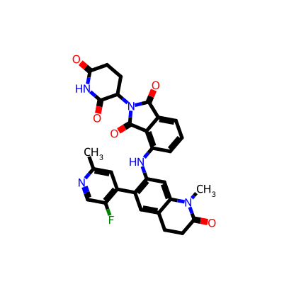 Cc1cc(-c2cc3c(cc2Nc2cccc4c2C(=O)N(C2CCC(=O)NC2=O)C4=O)N(C)C(=O)CC3)c(F)cn1